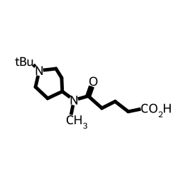 CN(C(=O)CCCC(=O)O)C1CCN(C(C)(C)C)CC1